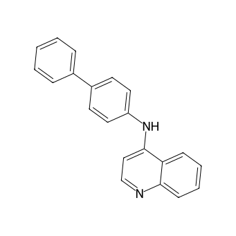 c1ccc(-c2ccc(Nc3ccnc4ccccc34)cc2)cc1